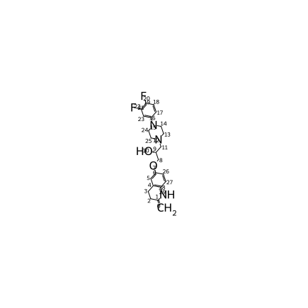 C=C1CCc2cc(OC[C@@H](O)CN3CCN(c4ccc(F)c(F)c4)CC3)ccc2N1